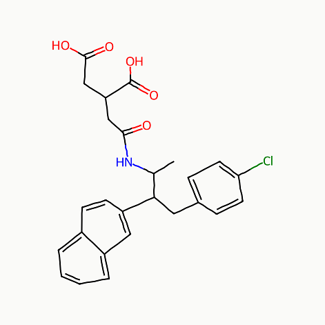 CC(NC(=O)CC(CC(=O)O)C(=O)O)C(Cc1ccc(Cl)cc1)c1ccc2ccccc2c1